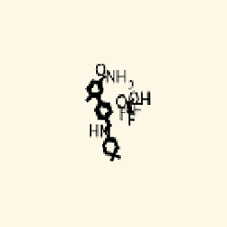 Cc1ccc(C(N)=O)cc1-c1ccc(CNC2CCC(C)(C)CC2)cc1.O=C(O)C(F)(F)F